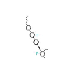 CCCCc1ccc(-c2ccc(-c3ccc(C#Cc4c(F)cc(C)cc4CC)cc3)c(F)c2)cc1